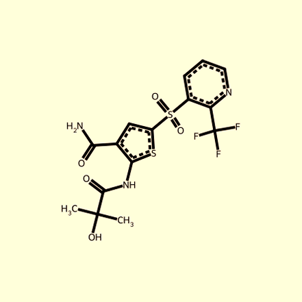 CC(C)(O)C(=O)Nc1sc(S(=O)(=O)c2cccnc2C(F)(F)F)cc1C(N)=O